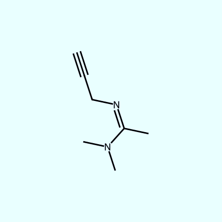 C#CCN=C(C)N(C)C